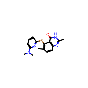 Cc1nc2ccc(C)c(Sc3cccc(N(C)C)n3)c2c(=O)[nH]1